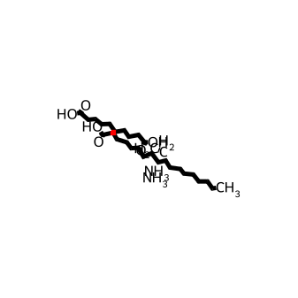 C=C.CCCCCCCCCCCCCCCCCC(=O)O.N.N.O=C(O)CCCCCCCCC(=O)O